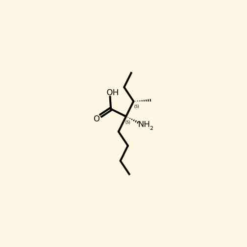 CCCC[C@@](N)(C(=O)O)[C@@H](C)CC